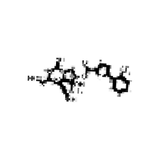 CC1[C@@H](OC(=O)c2ccc(-c3ccccc3C(F)(F)F)o2)CN2C(=N)NC(CO)C3NC(=N)N(O)C312